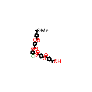 C=C(CO)c1ccc(C(=O)Oc2ccc(C(=O)Oc3cc(OC(=O)c4ccc(OC(=O)c5ccc(C(=C)OC)cc5)cc4)ccc3Cl)cc2)cc1